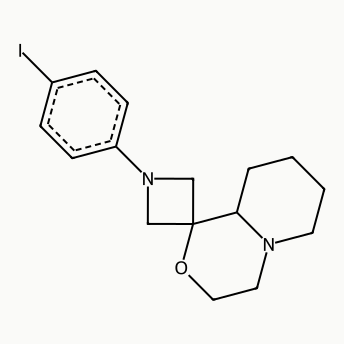 Ic1ccc(N2CC3(C2)OCCN2CCCCC23)cc1